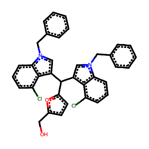 OCc1ccc(C(c2cn(Cc3ccccc3)c3cccc(Cl)c23)c2cn(Cc3ccccc3)c3cccc(Cl)c23)o1